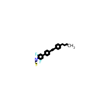 C=CCCc1ccc(C#Cc2ccc(-c3cc(F)c(N=C=S)c(F)c3)cc2)cc1